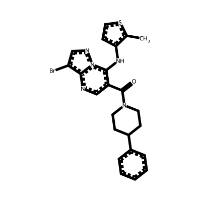 Cc1sccc1Nc1c(C(=O)N2CCC(c3ccccc3)CC2)cnc2c(Br)cnn12